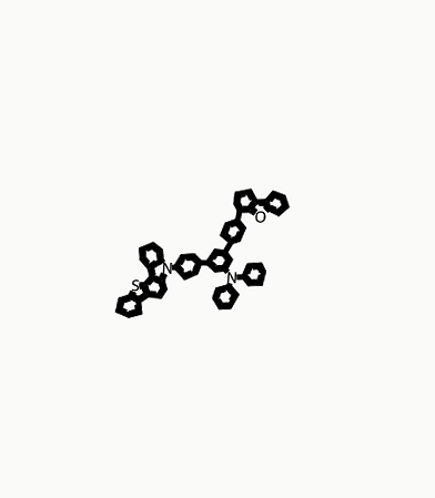 c1ccc(N(c2ccccc2)c2cc(-c3ccc(-c4cccc5c4oc4ccccc45)cc3)cc(-c3ccc(-n4c5ccccc5c5c6sc7ccccc7c6ccc54)cc3)c2)cc1